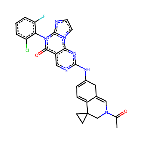 CC(=O)N1C=C2CC(Nc3ncc4c(=O)n(-c5c(F)cccc5Cl)c5nccn5c4n3)=CC=C2C2(CC2)C1